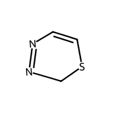 C1=CSCN=N1